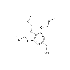 COCOc1cc(CO)cc(OCOC)c1OCOC